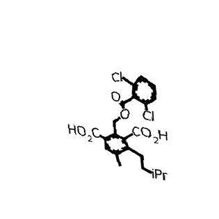 Cc1cc(C(=O)O)c(COC(=O)c2c(Cl)cccc2Cl)c(C(=O)O)c1CCC(C)C